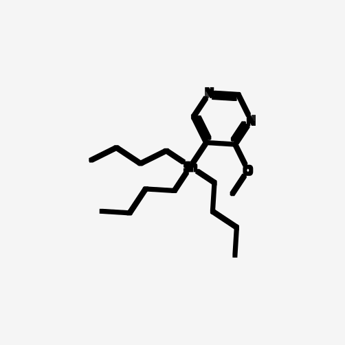 CCC[CH2][Sn]([CH2]CCC)([CH2]CCC)[c]1cncnc1OC